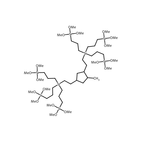 CO[Si](CCC[Si](CCC[Si](OC)(OC)OC)(CCC[Si](OC)(OC)OC)CCC1CC(C)C(CC[Si](CCC[Si](OC)(OC)OC)(CCC[Si](OC)(OC)OC)CCC[Si](OC)(OC)OC)C1)(OC)OC